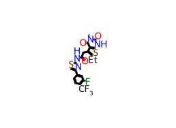 CCc1sc2[nH]c(=O)n(C)c(=O)c2c1CC(=O)Nc1nc(-c2ccc(C(F)(F)F)c(F)c2)cs1